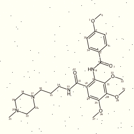 COc1ccc(C(=O)Nc2c(C(=O)NCCCN3CCN(C)CC3)cc(OC)c(OC)c2OC)cc1